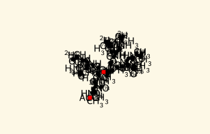 [2H]C(=O)C(C)(C)NC(=O)CC(NC(=O)OCOCC(COCOC(=O)NC(CC(=O)NC(C)(C)C([2H])=O)C(=O)NC(C)(C)C([2H])=O)(COCOC(=O)NC(CC(=O)NC(C)(C)C([2H])=O)C(=O)NC(C)(C)C([2H])=O)COCOC(=O)NC(CC(=O)NC(C)(C)C(C)=O)C(=O)NC(C)(C)C([2H])=O)C(=O)NC(C)(C)C([2H])=O